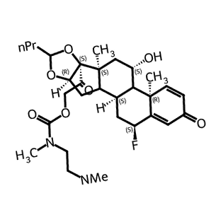 CCCC1O[C@@H]2CC3[C@@H]4C[C@H](F)C5=CC(=O)C=C[C@]5(C)C4[C@@H](O)C[C@]3(C)[C@]2(C(=O)COC(=O)N(C)CCNC)O1